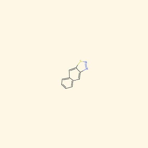 c1ccc2cc3snnc3cc2c1